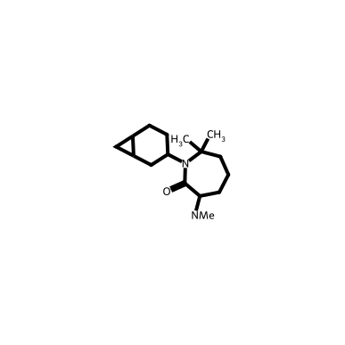 CNC1CCCC(C)(C)N(C2CCC3CC3C2)C1=O